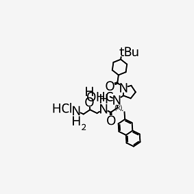 CC(C)(C)C1CCC(C(=O)N2CCCC2N(C=O)[C@H](Cc2ccc3ccccc3c2)C(=O)NCC(O)CN)CC1.Cl